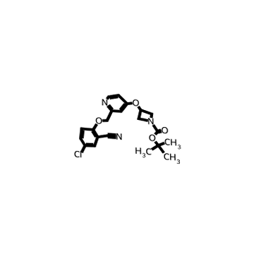 CC(C)(C)OC(=O)N1CC(Oc2ccnc(COc3ccc(Cl)cc3C#N)c2)C1